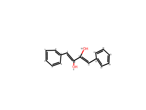 OC(=Cc1ccccc1)C(O)=Cc1ccccc1